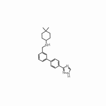 CC1(C)CCC(NCc2cccc(-c3ccc(-c4nc[nH]n4)cc3)c2)CC1